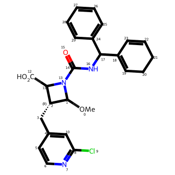 COC1[C@H](Cc2ccnc(Cl)c2)C(C(=O)O)N1C(=O)NC(C1=CCCC=C1)c1ccccc1